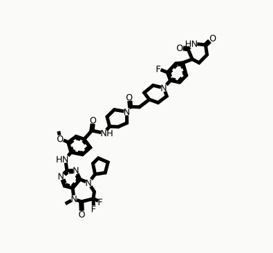 COc1cc(C(=O)NC2CCN(C(=O)CC3CCN(c4ccc(C5CCC(=O)NC5=O)cc4F)CC3)CC2)ccc1Nc1ncc2c(n1)N(C1CCCC1)CC(F)(F)C(=O)N2C